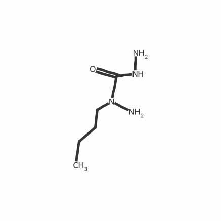 CCCCN(N)C(=O)NN